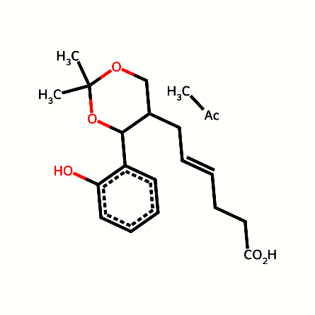 CC(C)=O.CC1(C)OCC(CC=CCCC(=O)O)C(c2ccccc2O)O1